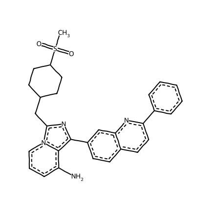 CS(=O)(=O)C1CCC(Cc2nc(-c3ccc4ccc(-c5ccccc5)nc4c3)c3c(N)cccn23)CC1